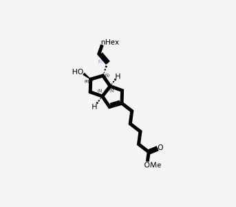 CCCCCC/C=C/[C@@H]1[C@H]2CC(CCCCC(=O)OC)=C[C@H]2C[C@H]1O